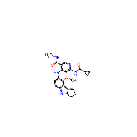 CNC(=O)c1cnc(NC(=O)C2CC2)cc1Nc1ccc2c(c1OC)=C1CCCC1N=2